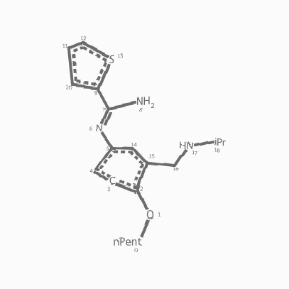 CCCCCOc1ccc(N=C(N)c2cccs2)cc1CNC(C)C